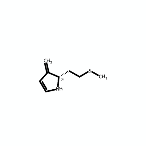 C=C1C=CN[C@H]1CCSC